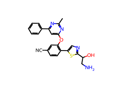 Cc1nc(Oc2cc(C#N)ccc2-c2cnc(C(O)CN)s2)cc(-c2ccccc2)n1